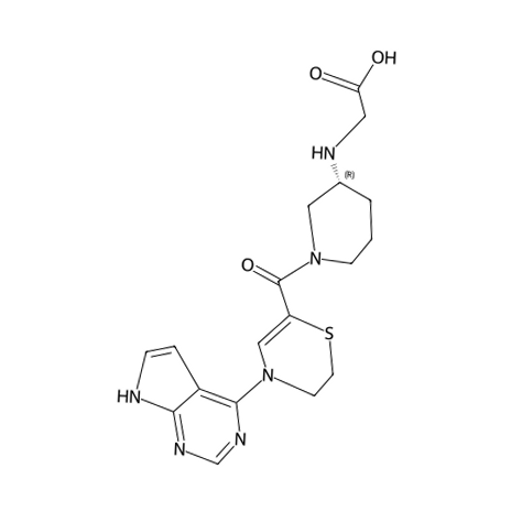 O=C(O)CN[C@@H]1CCCN(C(=O)C2=CN(c3ncnc4[nH]ccc34)CCS2)C1